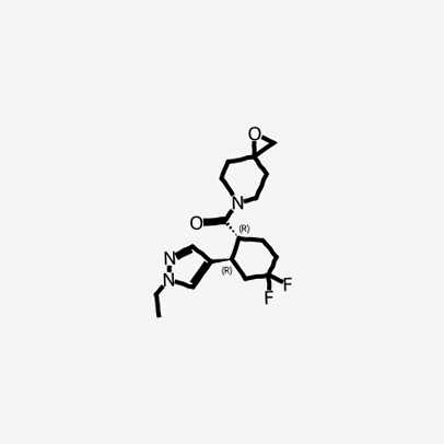 CCn1cc([C@@H]2CC(F)(F)CC[C@H]2C(=O)N2CCC3(CC2)CO3)cn1